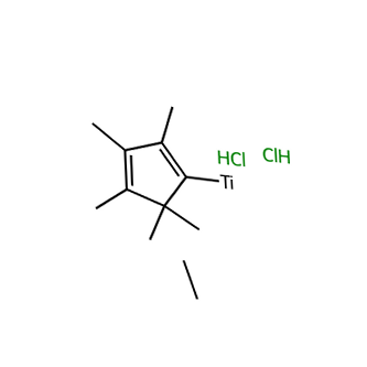 CC.CC1=C(C)C(C)(C)[C]([Ti])=C1C.Cl.Cl